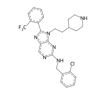 FC(F)(F)c1ccccc1-c1nc2cnc(NCc3ccccc3Cl)nc2n1CCC1CCNCC1